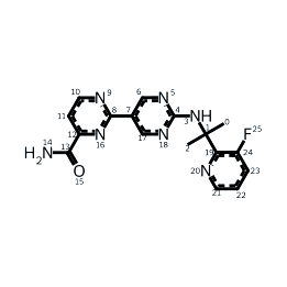 CC(C)(Nc1ncc(-c2nccc(C(N)=O)n2)cn1)c1ncccc1F